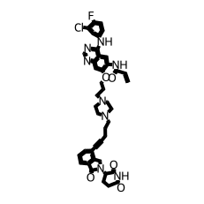 C=CC(=O)Nc1cc2c(Nc3ccc(F)c(Cl)c3)ncnc2cc1OCCCN1CCN(CCCC#Cc2cccc3c2CN(C2CCC(=O)NC2=O)C3=O)CC1